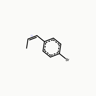 C/C=C\c1ccc(Br)cc1